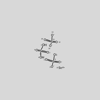 O=S(=O)(O)O.O=S(=O)([O-])[O-].O=S(=O)([O-])[O-].[Sn+4]